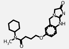 CN(C(=O)CCCOc1ccc2c(c1)CN1CC(=O)N=C1N2)C1CCCCC1